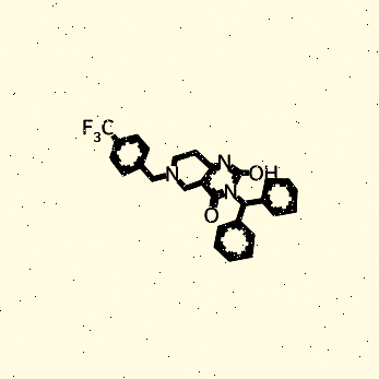 O=c1c2c(nc(O)n1C(c1ccccc1)c1ccccc1)CCN(Cc1ccc(C(F)(F)F)cc1)C2